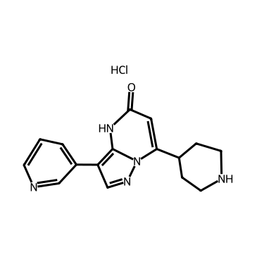 Cl.O=c1cc(C2CCNCC2)n2ncc(-c3cccnc3)c2[nH]1